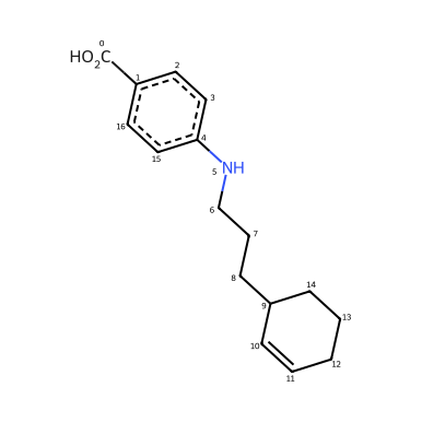 O=C(O)c1ccc(NCCCC2C=CCCC2)cc1